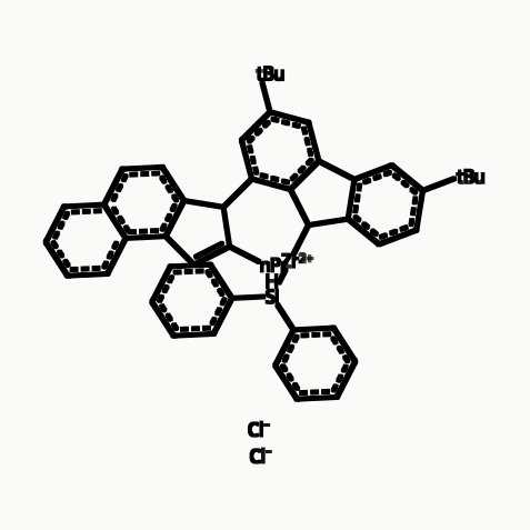 CCCC1=Cc2c(ccc3ccccc23)C1c1cc(C(C)(C)C)cc2c1[CH]([Zr+2][SiH](c1ccccc1)c1ccccc1)c1ccc(C(C)(C)C)cc1-2.[Cl-].[Cl-]